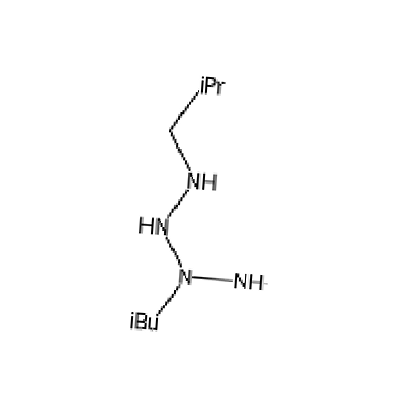 CCC(C)N([NH])NNCC(C)C